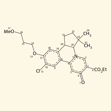 CCOC(=O)c1cn2c(cc1=O)-c1cc(Cl)c(OCCCOC)cc1C1CCC(C)(C)C12